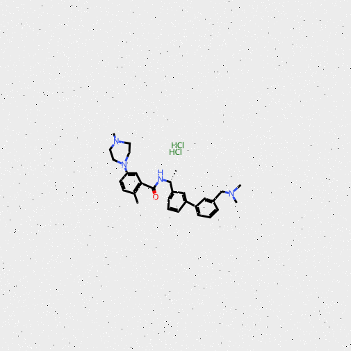 Cc1ccc(N2CCN(C)CC2)cc1C(=O)N[C@H](C)c1cccc(-c2cccc(CN(C)C)c2)c1.Cl.Cl